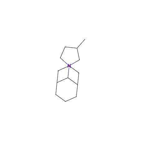 CC1CCN(C2C3CCCC2CCC3)C1